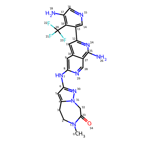 CN1CCc2cc(Nc3cc4cc(-c5cncc(N)c5C(F)(F)F)nc(N)c4cn3)nn2CC1=O